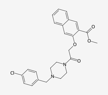 COC(=O)c1cc2ccccc2cc1OCC(=O)N1CCN(Cc2ccc(Cl)cc2)CC1